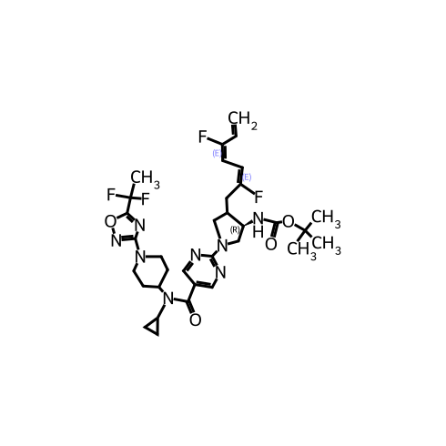 C=C/C(F)=C\C=C(\F)CC1CN(c2ncc(C(=O)N(C3CC3)C3CCN(c4noc(C(C)(F)F)n4)CC3)cn2)C[C@@H]1NC(=O)OC(C)(C)C